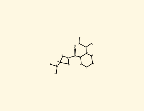 CCC(C)C1CCCCC1C(=O)N1CC(N(C)C)C1